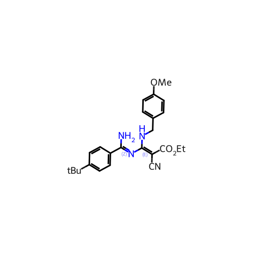 CCOC(=O)/C(C#N)=C(/N=C(\N)c1ccc(C(C)(C)C)cc1)NCc1ccc(OC)cc1